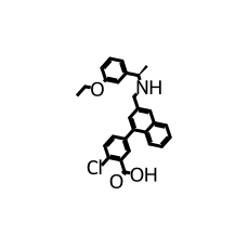 CCOc1cccc([C@@H](C)NCc2cc(-c3ccc(Cl)c(C(=O)O)c3)c3ccccc3c2)c1